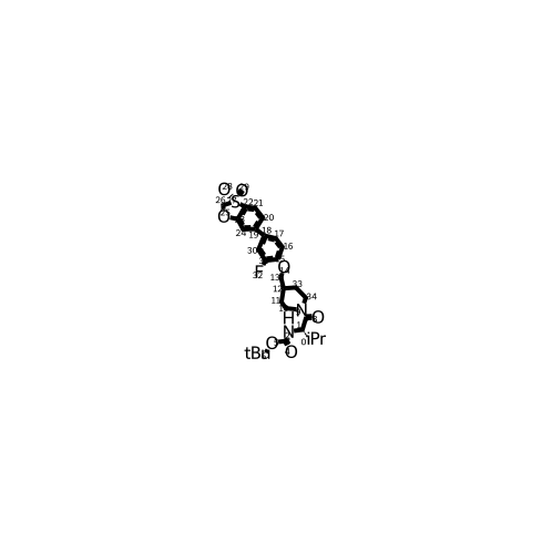 CC(C)[C@H](NC(=O)OC(C)(C)C)C(=O)N1CCC(COc2ccc(-c3ccc4c(c3)OCS4(=O)=O)cc2F)CC1